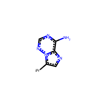 CC(C)c1cnc2c(N)ncnn12